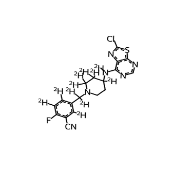 [2H]c1c([2H])c(C([2H])([2H])N2CCC([2H])(N([2H])c3ncnc4sc(Cl)nc34)C([2H])([2H])C2([2H])[2H])c([2H])c(C#N)c1F